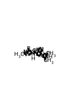 Cc1cn2cc(NC(=O)c3ccc(N4CC(C)NC(C)C4)c4cncnc34)cc(F)c2n1